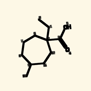 CCC1(C(=O)O)CCCC(C)CC1